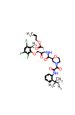 C=CCOC(=O)C[C@H](NC(=O)C1CN(C(=O)C(=O)Nc2ccccc2C(C)(C)C)CCO1)C(=O)COc1c(C)c(F)cc(F)c1F